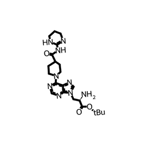 CC(C)(C)OC(=O)[C@@H](N)Cn1cnc2c(N3CCC(C(=O)NC4=NCCCN4)CC3)ncnc21